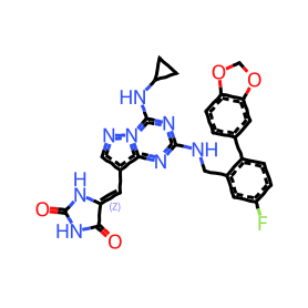 O=C1NC(=O)/C(=C/c2cnn3c(NC4CC4)nc(NCc4cc(F)ccc4-c4ccc5c(c4)OCO5)nc23)N1